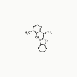 C=C(c1cc2ccccc2o1)c1nccc(C)c1C